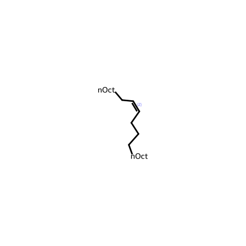 [CH2]CCCCCCCC/C=C\CCCCCCCCCCC